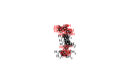 CC(=O)OC[C@H]1O[C@@H](O[C@@H]2[C@@H](O)[C@H](O[C@@H]3[C@H](O)C(C)(C)C[C@H]4C5=CC[C@@H]6[C@@]7(C)CC[C@H](O[C@@H]8O[C@H](C(=O)O)[C@@H](O)[C@H](O)[C@H]8O[C@@H]8O[C@H](CO)[C@H](O)[C@H](O)[C@H]8O[C@@H]8O[C@H](CO)[C@@H](O)[C@H](O)[C@H]8O)[C@](C)(CO)[C@@H]7CC[C@@]6(C)[C@]5(C)CC[C@@]34C)OC[C@@H]2O)[C@H](OC(C)=O)[C@@H](OC(C)=O)[C@@H]1OC(C)=O